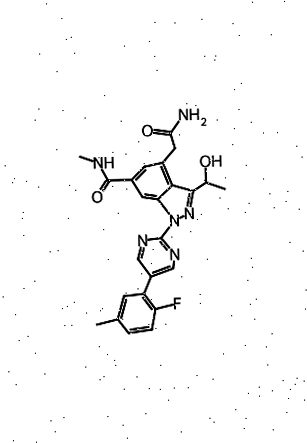 CNC(=O)c1cc(CC(N)=O)c2c(C(C)O)nn(-c3ncc(-c4cc(C)ccc4F)cn3)c2c1